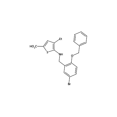 CCc1cc(C(=O)O)sc1NCc1cc(Br)ccc1OCc1ccccc1